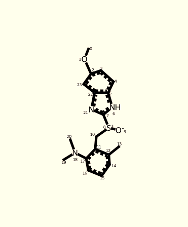 COc1ccc2[nH]c([S+]([O-])Cc3c(C)cccc3N(C)C)nc2c1